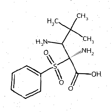 CC(C)(C)C(N)[C@@](N)(C(=O)O)S(=O)(=O)c1ccccc1